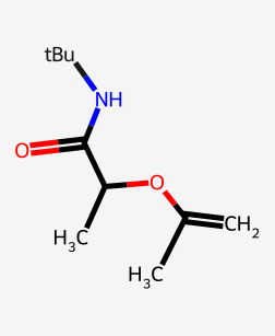 C=C(C)OC(C)C(=O)NC(C)(C)C